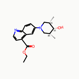 CCOC(=O)c1ccnc2ccc(N3C[C@@H](C)[C@@H](O)[C@@H](C)C3)cc12